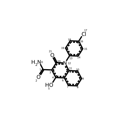 NC(=O)c1c(O)c2ccccc2n(-c2ccc(Cl)cc2)c1=O